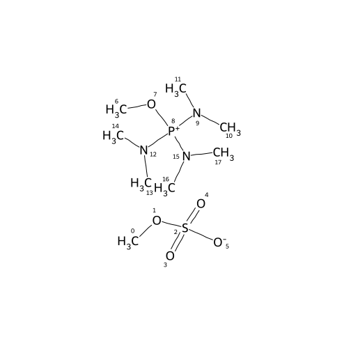 COS(=O)(=O)[O-].CO[P+](N(C)C)(N(C)C)N(C)C